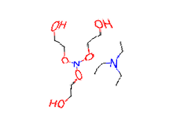 CCN(CC)CC.OCCON(OCCO)OCCO